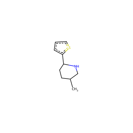 CC1CCC(c2cccs2)NC1